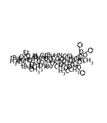 CC[C@@H]1O[C@@H](O[C@@H](C[C@@H](CC(=O)O[C@@H](C[C@@H](CC(=O)O[C@H]2C(C)O[C@H](OC(=N)C(Cl)(Cl)Cl)C(O[C@@H]3OC(C)[C@H](O[C@@H]4OC[C@@H](OCc5ccccc5)C(O[C@@H]5OC[C@@H](OCc6ccccc6)C(OCc6ccccc6)C5C)C4C)C4OC(C)(C)OC43)C2C)O[Si](C)(C)C(C)(C)C)[C@@H](C)CC)O[Si](C)(C)C(C)(C)C)[C@@H](C)CC)C(C)C1O[Si](C)(C)C(C)(C)C